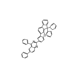 C1=CCC(C2(c3ccccc3)c3ccccc3-c3ccc4c(oc5ccc(-c6nc(-c7ccccc7)c7cc(-c8ccccc8)ccc7n6)cc54)c32)C=C1